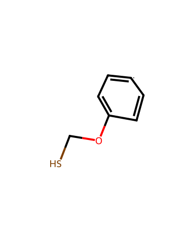 SCOc1cc[c]cc1